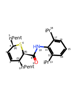 CCCCC[C@H]1C=C[C@@H](CCCCC)S[C@H]1C(=O)Nc1c(C(C)C)cccc1C(C)C